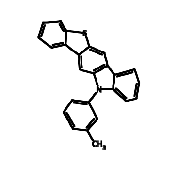 Cc1cccc(-n2c3ccccc3c3cc4sc5ccccc5c4cc32)c1